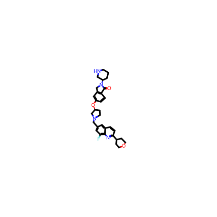 O=C1c2ccc(O[C@H]3CCN(Cc4cc(F)c5nc(C6CCOCC6)ccc5c4)C3)cc2CN1[C@@H]1CCCNC1